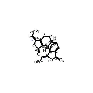 CCC/C=C1\OC(=O)C2=CC3CCC21[C@H]1C2=C(CC[C@@H]31)/C(=C\CCC)OC2=O